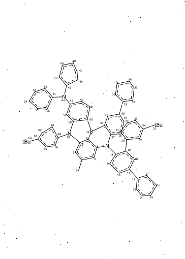 Cc1cc2c3c(c1)N(c1ccc(-c4ccccc4)cc1-c1cccc(C(C)(C)C)c1)c1ccc(-c4ccccc4)cc1B3c1ccc(N(c3ccccc3)c3ccccc3)cc1N2c1ccc(C(C)(C)C)cc1